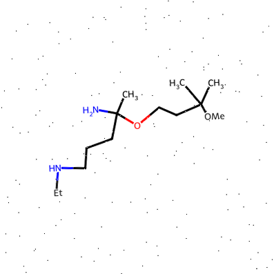 CCNCCCC(C)(N)OCCC(C)(C)OC